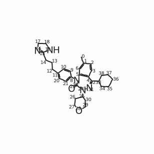 Cc1ccc2c(c1)N(c1ccc(CCCC3=NCCN3)cc1)C(=O)N(C1CCOCC1)N=C2C1CCCCC1